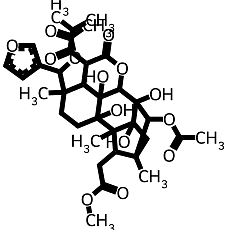 COC(=O)CC1C2(C)CC3(O)C(O)(C2OC(C)=O)C2OC(=O)C(C(=O)C(C)C)C4C(C)(C(OC(C)=O)c5ccoc5)CCC(O)(C42O)C13C